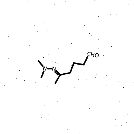 CC(CCCC=O)=NN(C)C